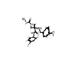 CC(C)(C)OC(=O)[SiH]1CC(NCc2ccc(Cl)cc2)(C(=O)Nc2ccc(F)cc2F)C1